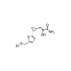 CCOCc1ccc([C@@H]2C[C@H]2CN(O)C(N)=O)s1